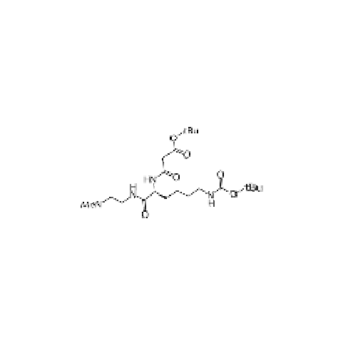 CNCCNC(=O)[C@H](CCCCNC(=O)OC(C)(C)C)NC(=O)CC(=O)OC(C)(C)C